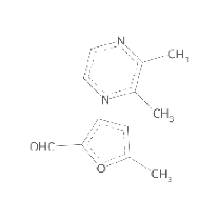 Cc1ccc(C=O)o1.Cc1nccnc1C